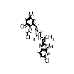 CCOc1c(Cl)cc(Cl)cc1CNCCN(C)c1nc2ccc(Cl)nc2[nH]1